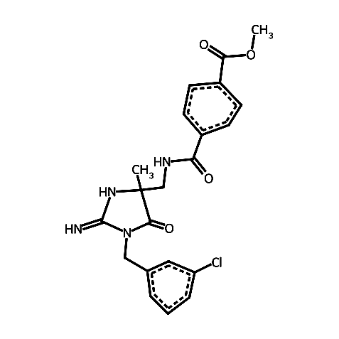 COC(=O)c1ccc(C(=O)NCC2(C)NC(=N)N(Cc3cccc(Cl)c3)C2=O)cc1